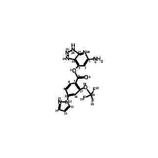 Nc1cc(OC(=O)c2ccc(-n3cccn3)cc2OC(F)(F)F)c2nn[nH]c2n1